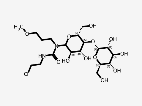 COCCCN(C(=O)NCCCl)C1O[C@H](CO)[C@@H](O[C@H]2O[C@H](CO)[C@@H](O)[C@H](O)[C@H]2O)[C@H](O)[C@H]1O